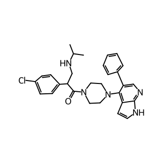 CC(C)NCC(C(=O)N1CCN(c2c(-c3ccccc3)cnc3[nH]ccc23)CC1)c1ccc(Cl)cc1